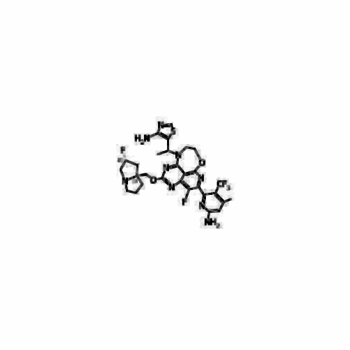 Cc1cc(N)nc(-c2nc3c4c(nc(OC[C@@]56CCCN5C[C@H](F)C6)nc4c2F)N(C(C)c2scnc2N)CCO3)c1C(F)(F)F